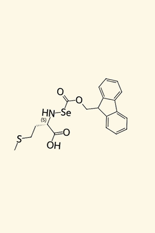 CSCC[C@H](N[Se]C(=O)OCC1c2ccccc2-c2ccccc21)C(=O)O